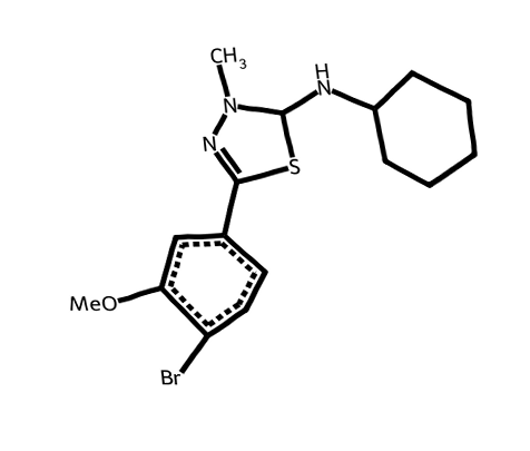 COc1cc(C2=NN(C)C(NC3CCCCC3)S2)ccc1Br